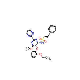 CCOc1ccccc1Oc1c(NS(=O)(=O)/C=C/c2ccccc2)nc(-c2ncccn2)nc1OC